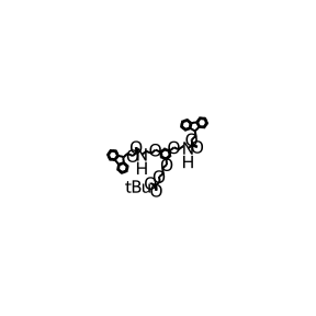 CC(C)(C)OC(=O)COCCOc1cc(OCCNC(=O)OCC2c3ccccc3-c3ccccc32)cc(OCCNC(=O)OCC2c3ccccc3-c3ccccc32)c1